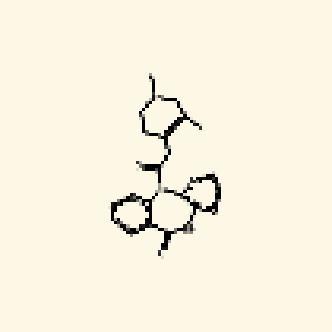 CC1=C(CC(=O)N2c3ccccc3C(=O)Nc3cccnc32)CCN(C)C1